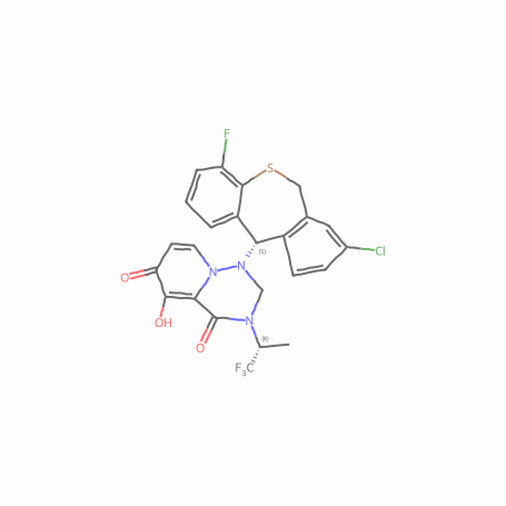 C[C@@H](N1CN([C@H]2c3ccc(Cl)cc3CSc3c(F)cccc32)n2ccc(=O)c(O)c2C1=O)C(F)(F)F